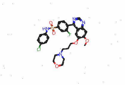 COc1cc2ncnc(-c3ccc(S(=O)(=O)Nc4ccc(Cl)cc4)cc3F)c2cc1OCCCN1CCOCC1